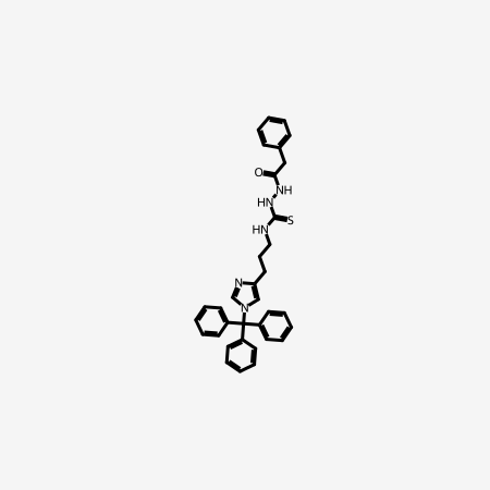 O=C(Cc1ccccc1)NNC(=S)NCCCc1cn(C(c2ccccc2)(c2ccccc2)c2ccccc2)cn1